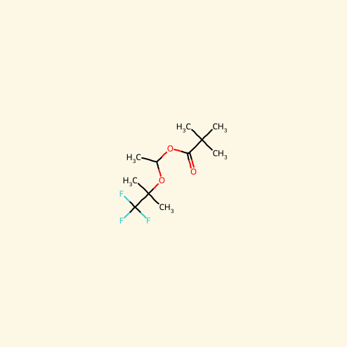 CC(OC(=O)C(C)(C)C)OC(C)(C)C(F)(F)F